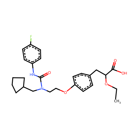 CCOC(Cc1ccc(OCCN(CC2CCCC2)C(=O)Nc2ccc(F)cc2)cc1)C(=O)O